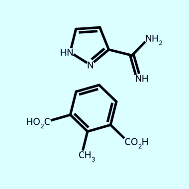 Cc1c(C(=O)O)cccc1C(=O)O.N=C(N)c1cc[nH]n1